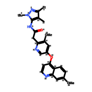 CCc1nn(C(C)(C)C)c(NC(=O)Cc2ncc(Oc3ccnc4cc(OC)ccc34)cc2OC)c1C